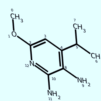 COc1cc(C(C)C)c(N)c(N)n1